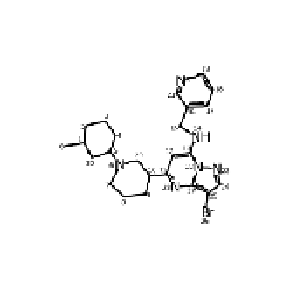 CC1CCCC(N2CCCC(c3cc(NCc4cccnc4)n4ncc(Br)c4n3)C2)C1